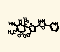 CN1C(=N)N[C@](C)(c2sc(-c3nnc(-c4cccnc4)o3)cc2Cl)CS1(=O)=O